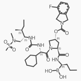 CCC[C@H](NC(=O)[C@@H]1C[C@@H](OC(=O)N2Cc3cccc(F)c3C2)CN1C(=O)[C@@H](NC(=O)N[C@H](CN(C)S(C)(=O)=O)[C@@H](C)CC)C1CCCCC1)B(O)O